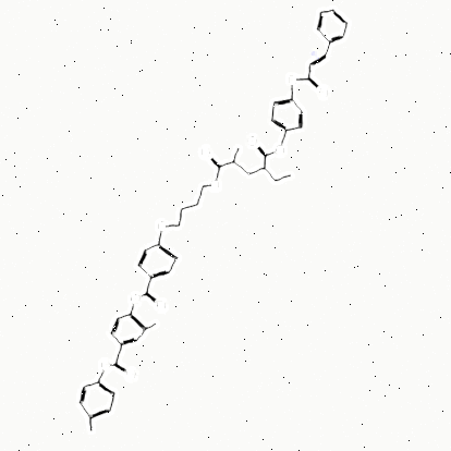 CCC(CC(C)C(=O)OCCCCOc1ccc(C(=O)Oc2ccc(C(=O)Oc3ccc(C)cc3)cc2C)cc1)C(=O)Oc1ccc(OC(=O)/C=C/c2ccccc2)cc1